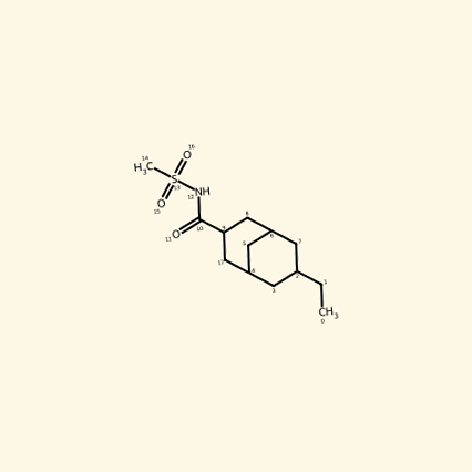 CCC1CC2CC(C1)CC(C(=O)NS(C)(=O)=O)C2